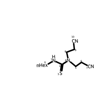 CCCCCCNC(=S)N(CCC#N)CCC#N